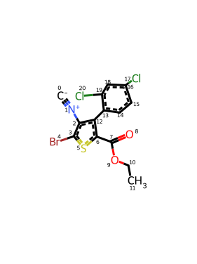 [C-]#[N+]c1c(Br)sc(C(=O)OCC)c1-c1ccc(Cl)cc1Cl